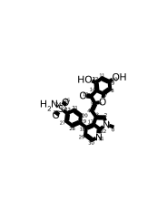 Cn1cc(C=C2Oc3cc(O)cc(O)c3C2=O)c2c(-c3ccc(S(N)(=O)=O)cc3)ccnc21